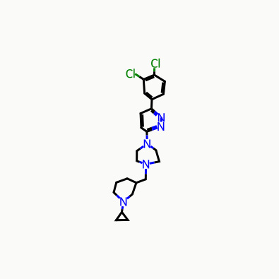 Clc1ccc(-c2ccc(N3CCN(CC4CCCN(C5CC5)C4)CC3)nn2)cc1Cl